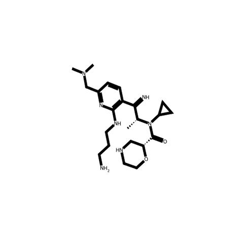 C[C@H](C(=N)c1ccc(CN(C)C)nc1NCCCN)N(C(=O)[C@H]1CNCCO1)C1CC1